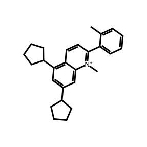 Cc1ccccc1-c1ccc2c(C3CCCC3)cc(C3CCCC3)cc2[n+]1C